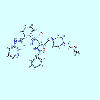 COCCN1CCN(Cc2oc(-c3ccccc3)nc2C(=O)Nc2ccccc2-c2nc3cccnc3s2)CC1